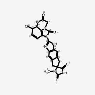 CN1C(=O)NC(=O)C12Cc1cc3nc(-n4c5c6n(c4=O)CC(=O)NC6C(Cl)C=C5)[nH]c3cc1C2